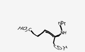 CCCNC(=CCC(=O)O)C(=O)O